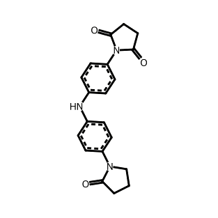 O=C1CCCN1c1ccc(Nc2ccc(N3C(=O)CCC3=O)cc2)cc1